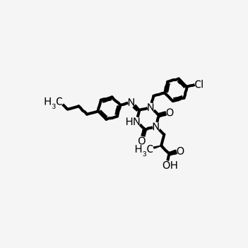 CCCCc1ccc(/N=c2\[nH]c(=O)n(C[C@H](C)C(=O)O)c(=O)n2Cc2ccc(Cl)cc2)cc1